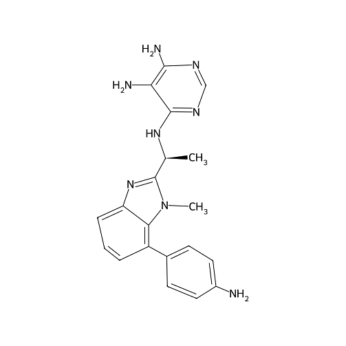 C[C@H](Nc1ncnc(N)c1N)c1nc2cccc(-c3ccc(N)cc3)c2n1C